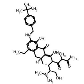 CCc1cc(NCc2ccc(C(C)(C)C)cc2)c(O)c2c1C[C@H]1C[C@@H]([C@@H](CO)N(C)C)C(C(=O)C(C)C(N)=O)C(O)=C1C2=O